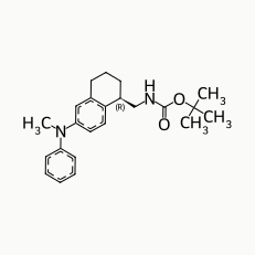 CN(c1ccccc1)c1ccc2c(c1)CCC[C@H]2CNC(=O)OC(C)(C)C